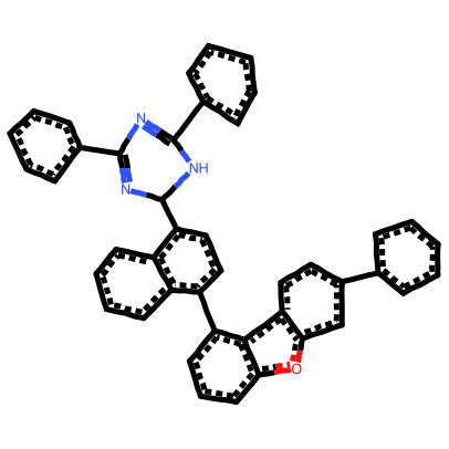 c1ccc(C2=NC(c3ccc(-c4cccc5oc6cc(-c7ccccc7)ccc6c45)c4ccccc34)NC(c3ccccc3)=N2)cc1